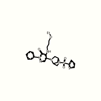 CCOCCCNc1c(N2CC3CC2CN3S(=O)(=O)c2cccs2)cnn(-c2ccccc2)c1=O